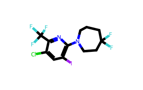 FC1(F)CCCN(c2nc(C(F)(F)F)c(Cl)cc2I)CC1